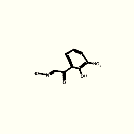 O=C(C=NO)c1cccc([N+](=O)[O-])c1O